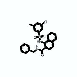 Cc1cc(Cl)cc(S(=O)(=O)Nc2c(C(=O)NCc3ccccc3)ccc3ccccc23)c1